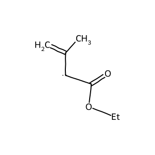 C=C(C)[CH]C(=O)OCC